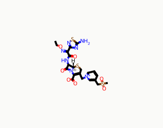 CCON=C(C(=O)NC1C(=O)N2C(C(=O)[O-])=C(C[n+]3cccc(CS(C)(=O)=O)c3)CS[C@@H]12)c1nsc(N)n1